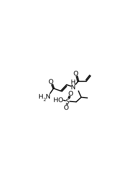 C=CC(=O)NC=CC(N)=O.CC(C)CS(=O)(=O)O